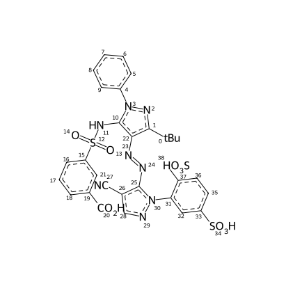 CC(C)(C)c1nn(-c2ccccc2)c(NS(=O)(=O)c2cccc(C(=O)O)c2)c1/N=N/c1c(C#N)cnn1-c1cc(S(=O)(=O)O)ccc1S(=O)(=O)O